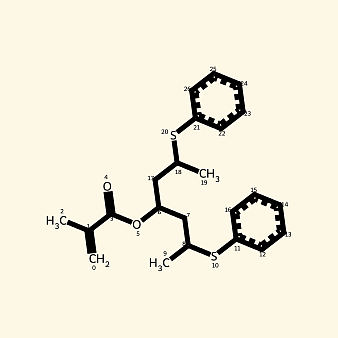 C=C(C)C(=O)OC(CC(C)Sc1ccccc1)CC(C)Sc1ccccc1